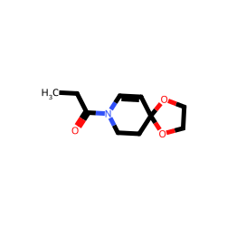 CCC(=O)N1C=CC2(CC1)OCCO2